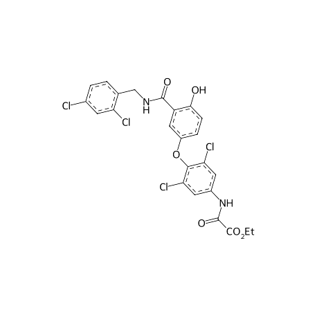 CCOC(=O)C(=O)Nc1cc(Cl)c(Oc2ccc(O)c(C(=O)NCc3ccc(Cl)cc3Cl)c2)c(Cl)c1